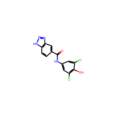 O=C(Nc1cc(Cl)c(O)c(Cl)c1)c1ccc2[nH]nnc2c1